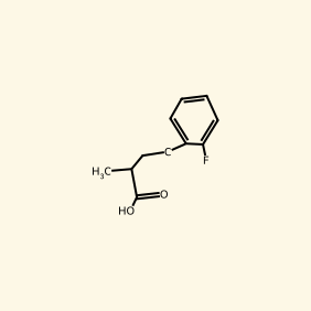 CC(CCc1ccccc1F)C(=O)O